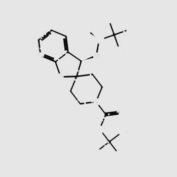 CC(C)(C)OC(=O)N1CCC2(CC1)Oc1ncccc1[C@H]2N[S@@+]([O-])C(C)(C)C